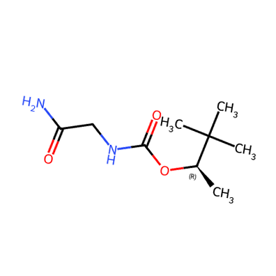 C[C@@H](OC(=O)NCC(N)=O)C(C)(C)C